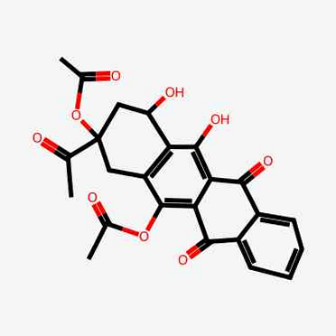 CC(=O)Oc1c2c(c(O)c3c1C(=O)c1ccccc1C3=O)C(O)CC(OC(C)=O)(C(C)=O)C2